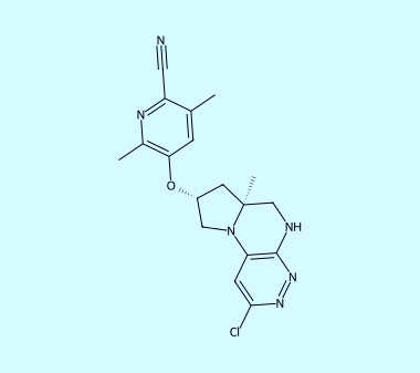 Cc1cc(O[C@H]2CN3c4cc(Cl)nnc4NC[C@]3(C)C2)c(C)nc1C#N